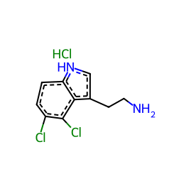 Cl.NCCc1c[nH]c2ccc(Cl)c(Cl)c12